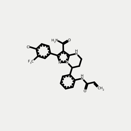 C=CC(=O)Nc1ccccc1C1CCNc2c(C(N)=O)c(-c3ccc(Cl)c(C(F)(F)F)c3)nn21